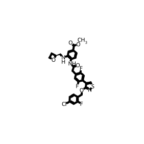 COC(=O)c1ccc(NC(=O)Cc2cc(F)c(-c3csnc3OCc3ccc(Cl)cc3F)cc2F)c(NC[C@@H]2CCO2)c1